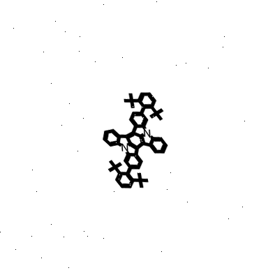 CC(C)(C)c1cccc(C(C)(C)C)c1-c1ccc2c3c4c5ccccc5n5c6cc(-c7c(C(C)(C)C)cccc7C(C)(C)C)ccc6c(c6c7ccccc7n(c2c1)c63)c45